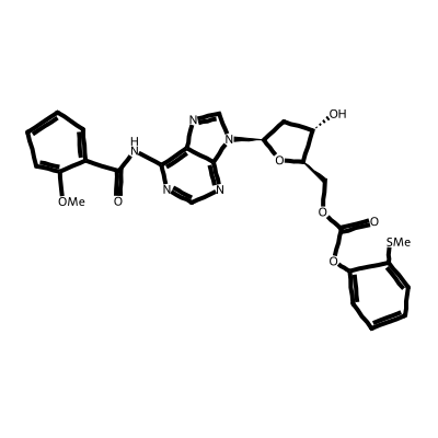 COc1ccccc1C(=O)Nc1ncnc2c1ncn2[C@H]1C[C@H](O)[C@@H](COC(=O)Oc2ccccc2SC)O1